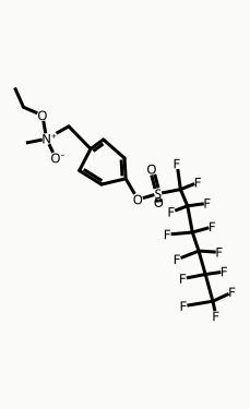 CCO[N+](C)([O-])Cc1ccc(OS(=O)(=O)C(F)(F)C(F)(F)C(F)(F)C(F)(F)C(F)(F)C(F)(F)F)cc1